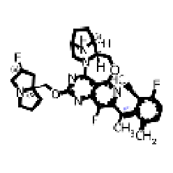 C#Cc1c(F)ccc(=C)/c1=C(\C)c1nc2c3c(nc(OC[C@@]45CCCN4C[C@@H](F)C5)nc3c1F)N1CC3CC[C@H](N3)[C@@H]1CO2